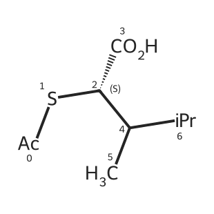 CC(=O)S[C@H](C(=O)O)C(C)C(C)C